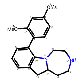 COc1ccc(-c2cccc3c2N2CCNCCC2C3)c(OC)c1